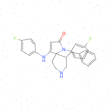 O=C1C=C(Nc2ccc(F)cc2)C2(CCNCC2Cc2ccccc2)N1c1cccc(F)c1